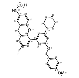 COc1ccc(COc2cc(N3CCOCC3)cc(-c3cc(F)cc4c3Oc3ccc(NC(=O)O)cc3C4)n2)cc1